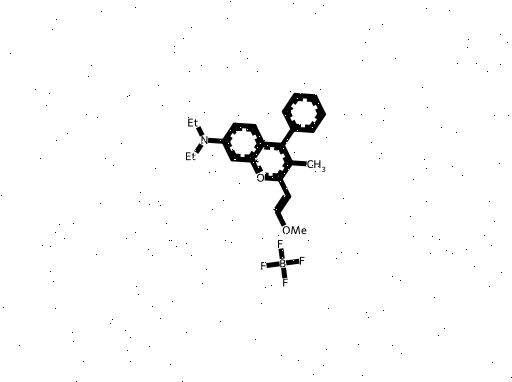 CCN(CC)c1ccc2c(-c3ccccc3)c(C)c(C=COC)[o+]c2c1.F[B-](F)(F)F